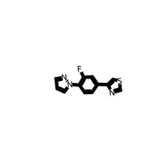 Fc1cc(-c2cs[c]n2)ccc1-n1cccn1